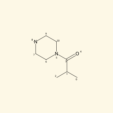 CC(C)C(=O)N1CC[N]CC1